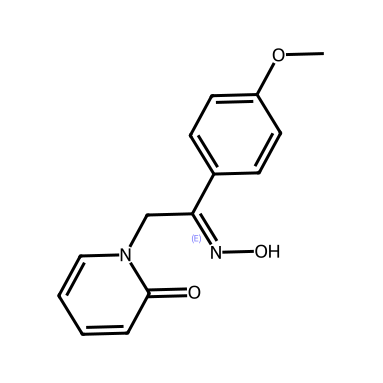 COc1ccc(/C(Cn2ccccc2=O)=N\O)cc1